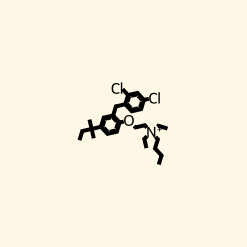 CCCC[N+](CC)(CC)CCOc1ccc(C(C)(C)CC)cc1Cc1ccc(Cl)cc1Cl